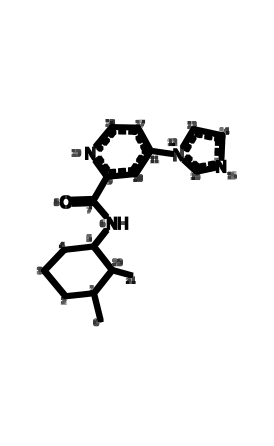 CC1CCCC(NC(=O)c2cc(-n3ccnc3)ccn2)C1C